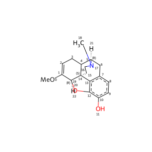 COC1=CCC2[C@H]3Cc4ccc(O)c5c4[C@@]2(CCN3C)[C@H]1O5